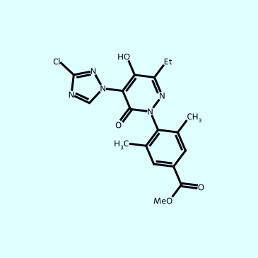 CCc1nn(-c2c(C)cc(C(=O)OC)cc2C)c(=O)c(-n2cnc(Cl)n2)c1O